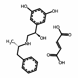 C[C@@H](Cc1ccccc1)NC[C@H](O)c1cc(O)cc(O)c1.O=C(O)C=CC(=O)O